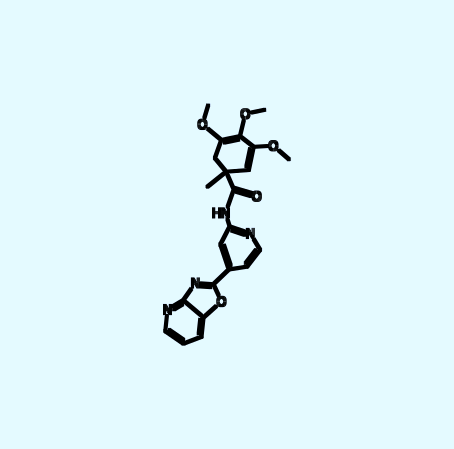 COC1=CC(C)(C(=O)Nc2cc(-c3nc4ncccc4o3)ccn2)CC(OC)=C1OC